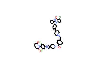 O=C(C1CCC(CN2CCC(c3ccc4c(c3)-n3c(nc(=O)c5c(Cl)cccc53)C43CCCCC3)CC2)CC1)N1CCC2(CC1)CN(c1cc(F)c(N3C(=O)CCCC3=O)c(F)c1)C2